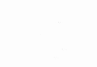 COc1cc(C2(C(O)c3ccc(OC)c(OC)c3)SCCCS2)ccc1CO